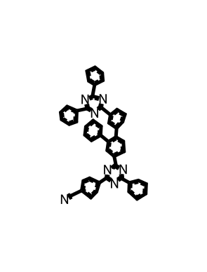 N#Cc1ccc(-c2nc(-c3ccccc3)nc(-c3ccc(-c4cccc(-c5nc(-c6ccccc6)nc(-c6ccccc6)n5)c4)c(-c4ccccc4)c3)n2)cc1